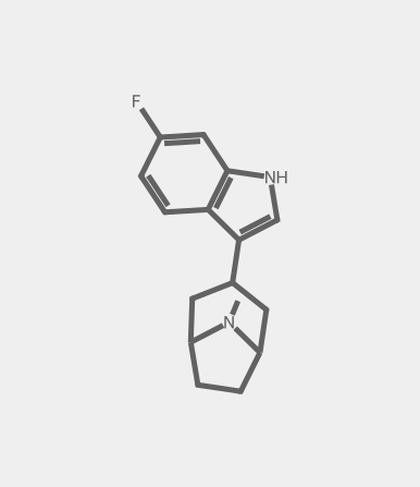 CN1C2CCC1CC(c1c[nH]c3cc(F)ccc13)C2